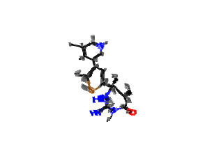 Cc1cncc(-c2cc([C@@]3(C)NC(=N)N(C)C(=O)[C@@H]3C)sc2C)c1